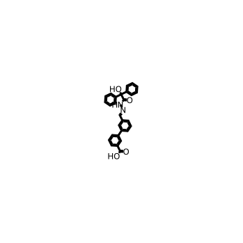 O=C(O)c1cccc(-c2cccc(C=NNC(=O)C(O)(c3ccccc3)c3ccccc3)c2)c1